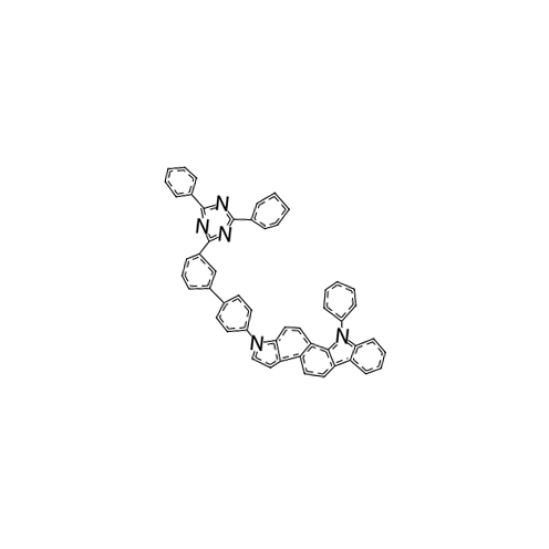 c1ccc(-c2nc(-c3ccccc3)nc(-c3cccc(-c4ccc(-n5ccc6c7ccc8c9ccccc9n(-c9ccccc9)c8c7ccc65)cc4)c3)n2)cc1